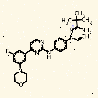 C=CN(/N=C(\N)C(C)(C)C)c1ccc(Nc2nccc(-c3cc(F)cc(N4CCOCC4)c3)n2)cc1